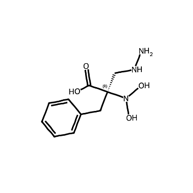 NNC[C@](Cc1ccccc1)(C(=O)O)N(O)O